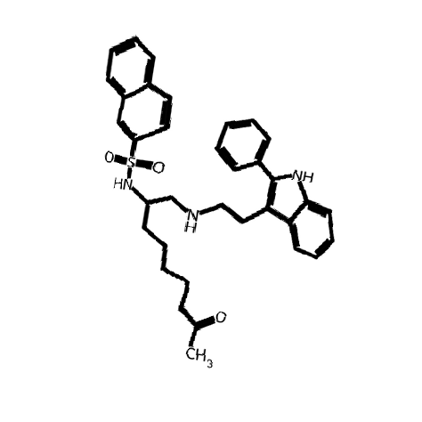 CC(=O)CCCCCC(CNCCc1c(-c2ccccc2)[nH]c2ccccc12)NS(=O)(=O)c1ccc2ccccc2c1